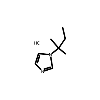 CCC(C)(C)n1ccnc1.Cl